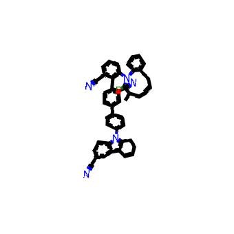 CC1C/C=C\Cc2ccccc2N(c2cccc(C#N)c2-c2ccc(-c3ccc(-n4c5c(c6cc(C#N)ccc64)C=CCC5)cc3)cc2C#N)C1F